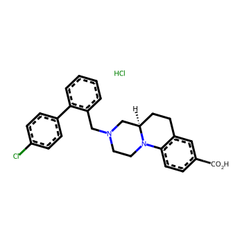 Cl.O=C(O)c1ccc2c(c1)CC[C@@H]1CN(Cc3ccccc3-c3ccc(Cl)cc3)CCN21